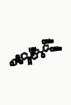 COc1cc(OC)cc(C(=O)c2c[nH]c3nc(Nc4cccc(S(=O)(=O)N5CCOCC5)c4)ccc23)c1